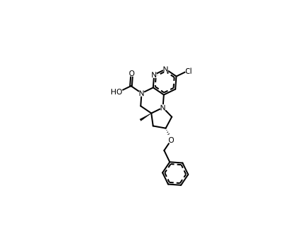 C[C@]12C[C@@H](OCc3ccccc3)CN1c1cc(Cl)nnc1N(C(=O)O)C2